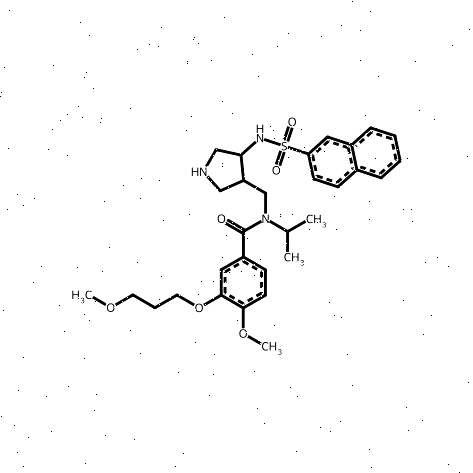 COCCCOc1cc(C(=O)N(CC2CNCC2NS(=O)(=O)c2ccc3ccccc3c2)C(C)C)ccc1OC